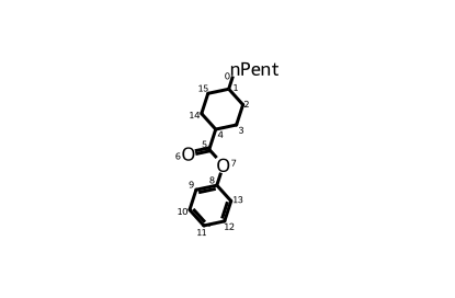 CCCCCC1CCC(C(=O)Oc2cc[c]cc2)CC1